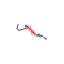 CCCCC/C=C\C/C=C\CCCCCCCCOCC(CN1CCCCC1)OCCOCCOC(=O)CCCO[C@H]1CC[C@@]2(C)C(=CCC3C2CC[C@@]2(C)C3CC[C@@H]2CCCCC(C)C)C1